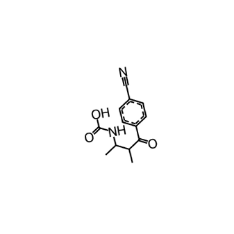 CC(NC(=O)O)C(C)C(=O)c1ccc(C#N)cc1